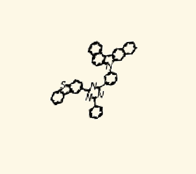 c1ccc(-c2nc(-c3cccc(-n4c5cc6ccccc6cc5c5c6ccccc6ccc54)c3)nc(-c3ccc4sc5ccccc5c4c3)n2)cc1